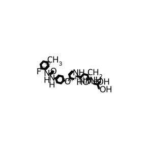 C=C(C[C@@H](NC)[C@@H]1C[C@H](O[C@@H]2CC=C(NC(=O)NC3=C[C@H](C)CC[C@@H]3F)CC2)C=CN1)[C@@H](O)NCC(O)CO